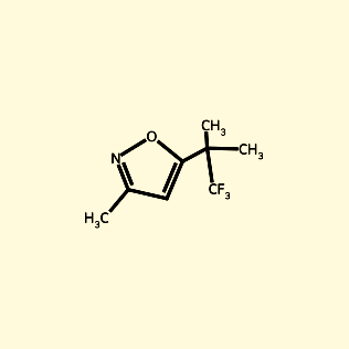 Cc1cc(C(C)(C)C(F)(F)F)on1